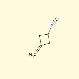 [C-]#[N+]C1CC(=C)C1